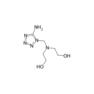 Nc1nnnn1CN(CCO)CCO